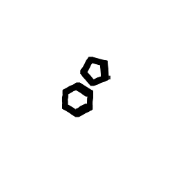 C1=CCCC=C1.[C]1=CCCC1